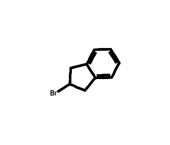 BrC1Cc2ccccc2C1